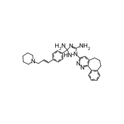 NC1=NC(N)(c2ccc(C=CCN3CCCCC3)cc2)NN1c1cc2c(nn1)-c1ccccc1CCC2